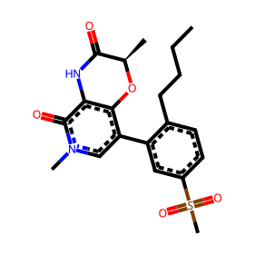 CCCCc1ccc(S(C)(=O)=O)cc1-c1cn(C)c(=O)c2c1O[C@H](C)C(=O)N2